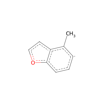 Cc1[c]ccc2occc12